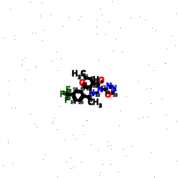 CC1C[C@@H]2C(=O)N(c3nnco3)CN(C(C)c3ccc(C(F)(F)F)cc3)C2=CO1